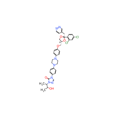 CC(O)C(C)n1ncn(-c2ccc(N3CCN(c4ccc(OC[C@@H]5CO[C@@](Cc6ccnnc6)(c6ccc(Cl)cc6Cl)O5)cc4)CC3)cc2)c1=O